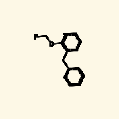 FCOc1[c]cccc1Cc1ccccc1